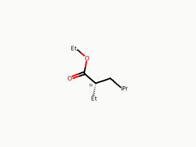 CCOC(=O)[C@@H](CC)CC(C)C